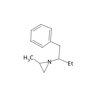 CCC(Cc1ccccc1)N1CC1C